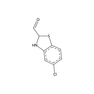 O=CC1Nc2cc(Cl)ccc2S1